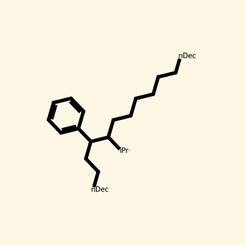 CCCCCCCCCCCCCCCCC([C](C)C)C(CCCCCCCCCCCC)c1ccccc1